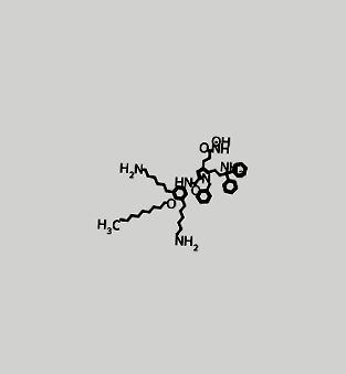 CCCCCCCCCCOc1c(CCCCCCN)cc(NC(=O)c2cc(CCC(=O)NO)c(CCC(N)(c3ccccc3)c3ccccc3)n2Cc2ccccc2)cc1CCCCCCN